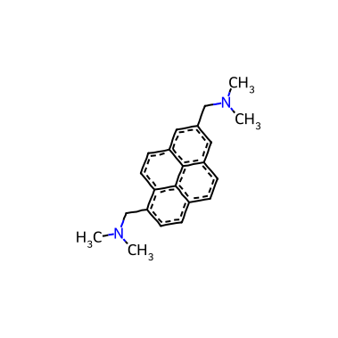 CN(C)Cc1cc2ccc3ccc(CN(C)C)c4ccc(c1)c2c34